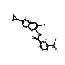 O=C(Nc1cn2cc(C3CC3)nc2cc1O)c1cccc(C(F)F)n1